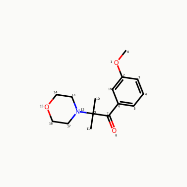 COc1cccc(C(=O)C(C)(C)N2CCOCC2)c1